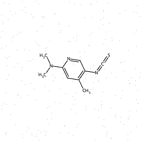 Cc1cc(N(C)C)ncc1N=C=S